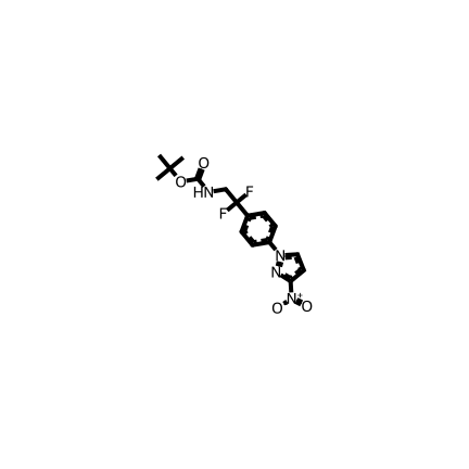 CC(C)(C)OC(=O)NCC(F)(F)c1ccc(-n2ccc([N+](=O)[O-])n2)cc1